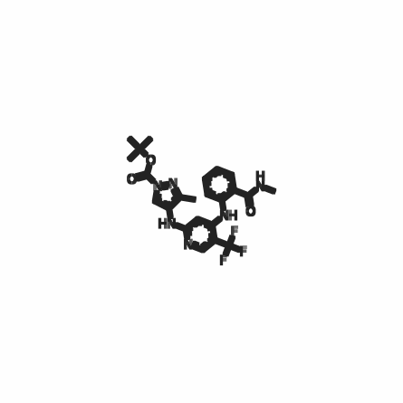 CNC(=O)c1ccccc1Nc1cc(Nc2cn(C(=O)OC(C)(C)C)nc2C)ncc1C(F)(F)F